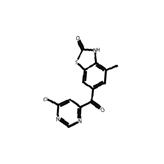 Cc1cc(C(=O)c2cc(Cl)ncn2)cc2sc(=O)[nH]c12